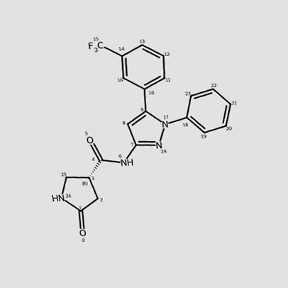 O=C1C[C@@H](C(=O)Nc2cc(-c3cccc(C(F)(F)F)c3)n(-c3ccccc3)n2)CN1